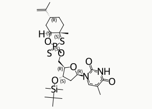 C=C(C)[C@@H]1CC[C@]2(C)S[P@@](=S)(OC[C@H]3O[C@@H](n4cc(C)c(=O)[nH]c4=O)C[C@@H]3O[Si](C)(C)C(C)(C)C)O[C@H]2C1